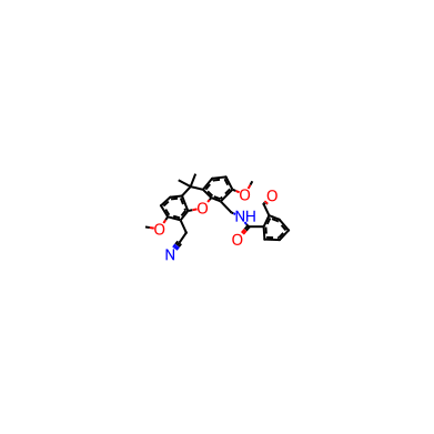 COc1ccc2c(c1CC#N)Oc1c(ccc(OC)c1CNC(=O)c1ccccc1C=O)C2(C)C